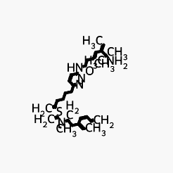 C=C/C=C\C(=C/C)CC(=C)N(C)C(=C)SC(=C)CCCCc1ccc(NC(=O)C/C(C)=C/C(=C\C)C(C)(C)N)nn1